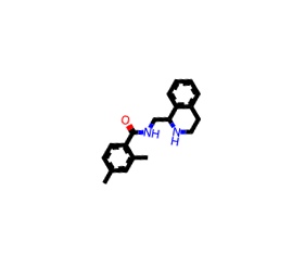 Cc1ccc(C(=O)NCC2NCCc3ccccc32)c(C)c1